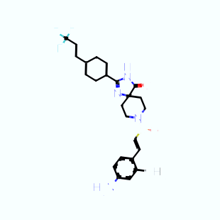 Cc1cc(N)ccc1/C=C/[S@+]([O-])N1CCC2(CC1)N=C(C1CCC(CCC(F)(F)F)CC1)NC2=O